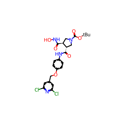 CC(C)(C)OC(=O)N1C[C@H](C(=O)NO)[C@@H](C(=O)Nc2ccc(OCc3cc(Cl)nc(Cl)c3)cc2)C1